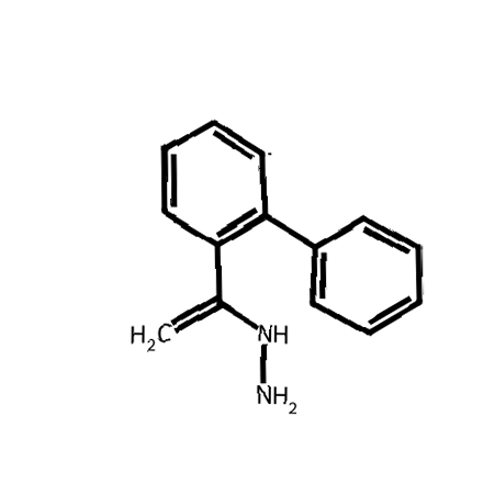 C=C(NN)c1ccc[c]c1-c1ccccc1